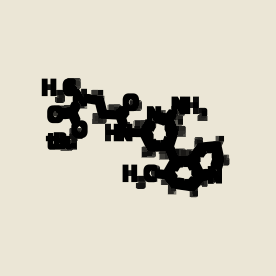 Cc1ccc2ncccc2c1-c1cc(N)nc(NC(=O)CCN(C)C(=O)OC(C)(C)C)c1